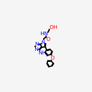 Nc1ncnc2c1c(-c1ccc(Oc3ccccc3)cc1)cn2CC(=O)NCCO